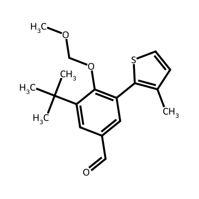 COCOc1c(-c2sccc2C)cc(C=O)cc1C(C)(C)C